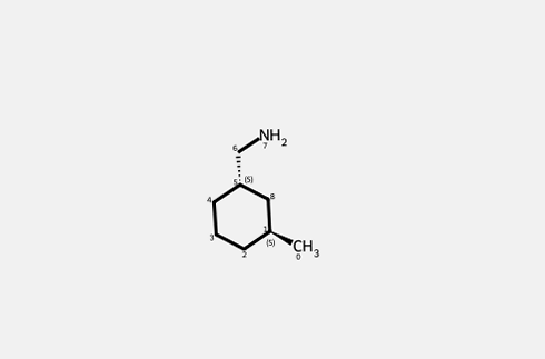 C[C@H]1CCC[C@H](CN)C1